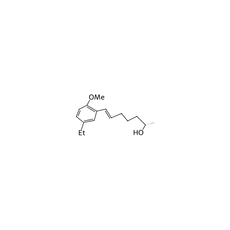 CCc1ccc(OC)c(/C=C/CCC[C@H](C)O)c1